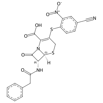 N#Cc1ccc(SC2=C(C(=O)O)N3C(=O)[C@@H](NC(=O)Cc4ccccc4)[C@@H]3SC2)c([N+](=O)[O-])c1